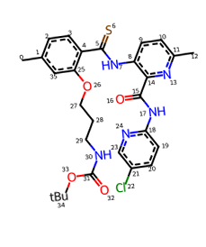 Cc1ccc(C(=S)Nc2ccc(C)nc2C(=O)Nc2ccc(Cl)cn2)c(OCCCNC(=O)OC(C)(C)C)c1